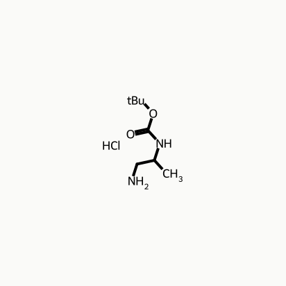 CC(CN)NC(=O)OC(C)(C)C.Cl